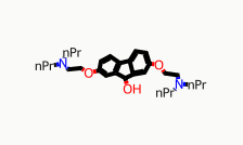 CCCN(CCC)CCOc1ccc2c(c1)C(O)c1cc(OCCN(CCC)CCC)ccc1-2